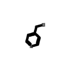 Cl[CH]c1ccncc1